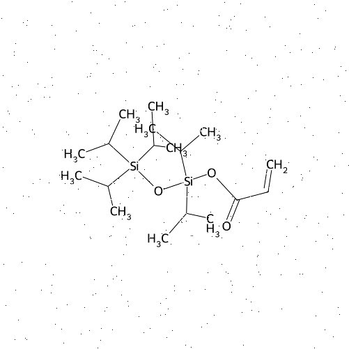 C=CC(=O)O[Si](O[Si](C(C)C)(C(C)C)C(C)C)(C(C)C)C(C)C